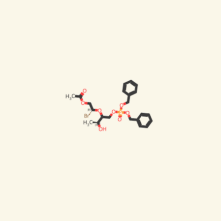 CC(=O)OC[C@@H](Br)OC(COP(=O)(OCc1ccccc1)OCc1ccccc1)[C@H](C)O